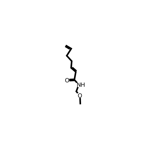 C=CCCC=CC(=O)NCOC